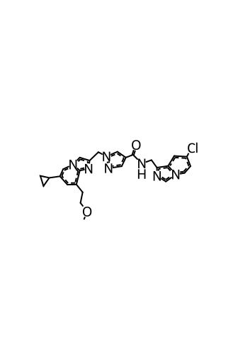 COCCc1cc(C2CC2)cn2cc(Cn3cc(C(=O)NCc4ncn5ccc(Cl)cc45)cn3)nc12